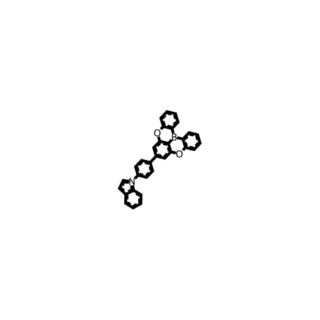 c1ccc2c(c1)Oc1cc(-c3ccc(-n4ccc5ccccc54)cc3)cc3c1B2c1ccccc1O3